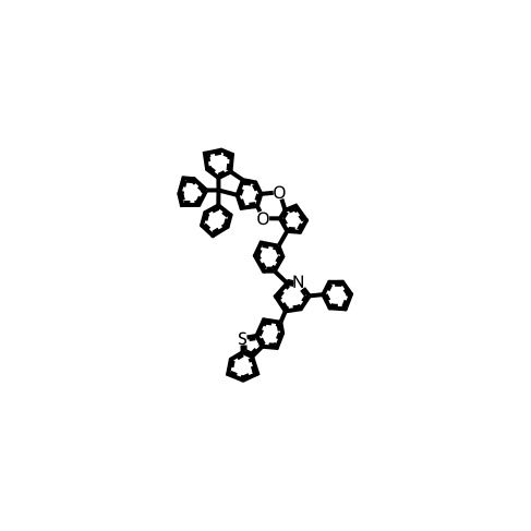 c1ccc(-c2cc(-c3ccc4c(c3)sc3ccccc34)cc(-c3cccc(-c4cccc5c4Oc4cc6c(cc4O5)-c4ccccc4C6(c4ccccc4)c4ccccc4)c3)n2)cc1